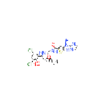 O=C(O)CC(NC(=O)CNC(=O)c1cc(NC2=NCCN2)cs1)c1cc(Cl)cc(Cl)c1O